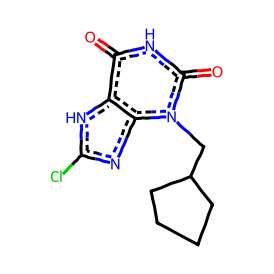 O=c1[nH]c(=O)n(CC2CCCC2)c2nc(Cl)[nH]c12